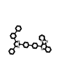 c1ccc(-c2cccc(-c3cc(-c4ccccc4)nc(-c4ccc(-c5ccc(-c6nc7ccccc7c7nc8ccccn8c67)cc5)cc4)n3)c2)cc1